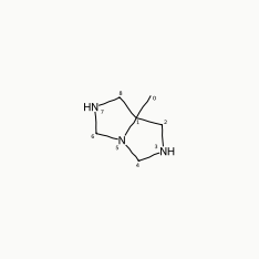 CC12CNCN1CNC2